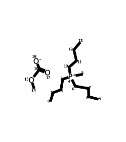 CCCC[P+](C)(CCCC)CCCC.COC(=O)[O-]